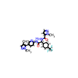 Cc1cnn(C)c1-c1ccc(NC(=O)C(NC(=O)c2ccnn2C)C2CCC(C(F)(F)F)CC2)nc1